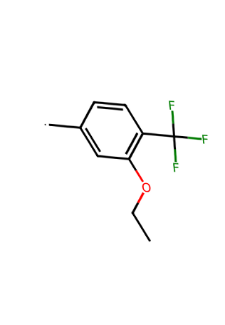 [CH2]c1ccc(C(F)(F)F)c(OCC)c1